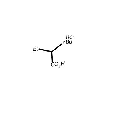 CCCCC(CC)C(=O)O.[Re]